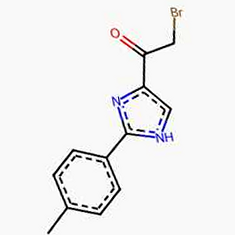 Cc1ccc(-c2nc(C(=O)CBr)c[nH]2)cc1